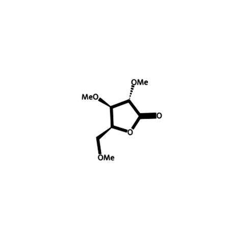 COC[C@@H]1OC(=O)[C@@H](OC)[C@@H]1OC